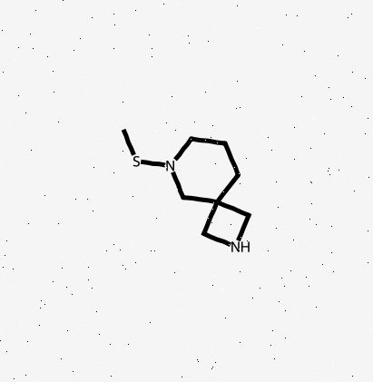 CSN1CCCC2(CNC2)C1